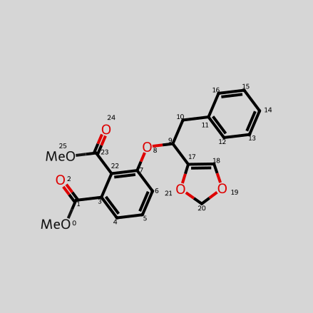 COC(=O)c1cccc(OC(Cc2ccccc2)C2=COCO2)c1C(=O)OC